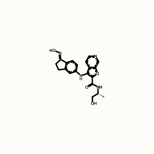 C[C@H](CO)NC(=O)c1oc2cnccc2c1Nc1ccc2c(c1)CCC2=NO